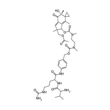 CC(=O)OCC1(C)C=C2C(=O)[C@](C)(O)C3(CC3)C(C)=C2C1OC(=O)N(C)CCN(C)C(=O)OCc1ccc(NC(=O)C(CCCNC(N)=O)NC(=O)C(N)C(C)C)cc1